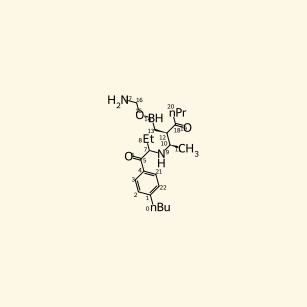 CCCCc1ccc(C(=O)C(CC)N[C@H](C)[C@@H](CBOCN)C(=O)CCC)cc1